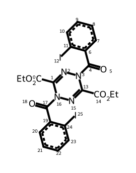 CCOC(=O)C1=NN(C(=O)c2ccccc2I)C(C(=O)OCC)=NN1C(=O)c1ccccc1I